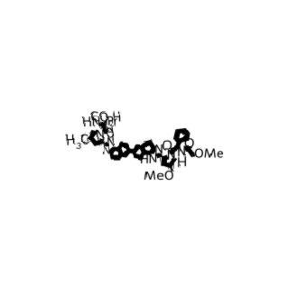 COCC(=O)N[C@@H](C(=O)N1C[C@@H](COC)C[C@H]1c1nc2ccc3cc(-c4ccc5c(ccc6nc([C@@H]7C[C@H](C)CN7C(=O)[C@@H](NC(=O)O)C(C)C)[nH]c65)c4)ccc3c2[nH]1)c1ccccc1